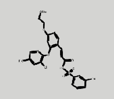 COCCOc1ccc(C=CC(=O)NS(=O)(=O)c2cccc(C#N)c2)c(Oc2ncc(C(F)(F)F)cc2Cl)c1